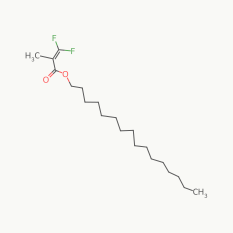 CCCCCCCCCCCCCCCCOC(=O)C(C)=C(F)F